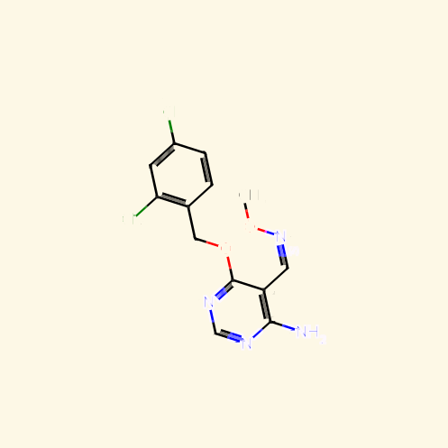 CO/N=C\c1c(N)ncnc1OCc1ccc(Cl)cc1Cl